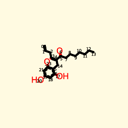 C=CCC1=C(C(=O)CCCCCCC)Cc2c(O)cc(O)cc2O1